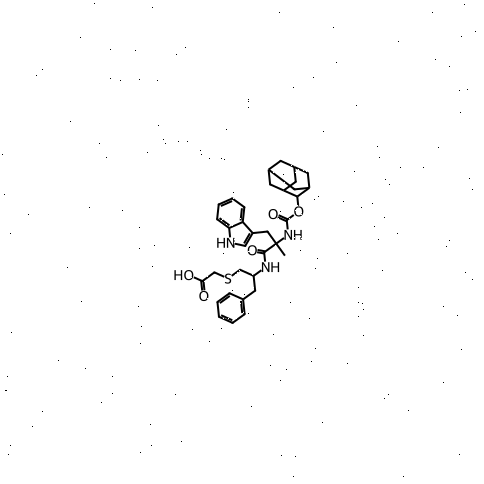 CC(Cc1c[nH]c2ccccc12)(NC(=O)OC1C2CC3CC(C2)CC1C3)C(=O)NC(CSCC(=O)O)Cc1ccccc1